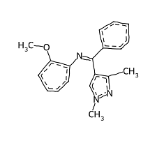 COc1ccccc1N=C(c1ccccc1)c1cn(C)nc1C